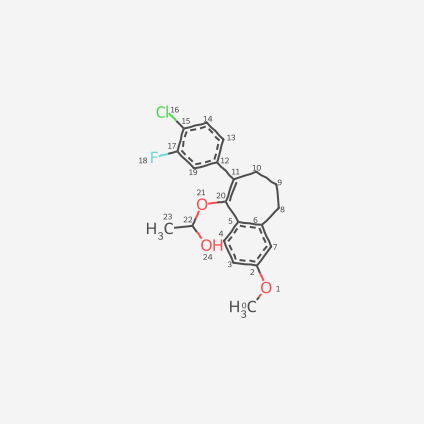 COc1ccc2c(c1)CCCC(c1ccc(Cl)c(F)c1)=C2OC(C)O